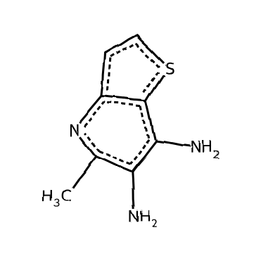 Cc1nc2ccsc2c(N)c1N